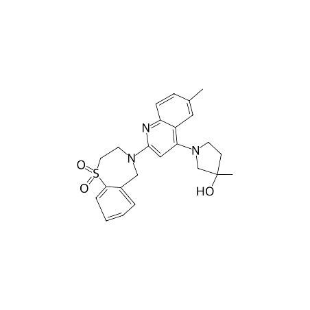 Cc1ccc2nc(N3CCS(=O)(=O)c4ccccc4C3)cc(N3CCC(C)(O)C3)c2c1